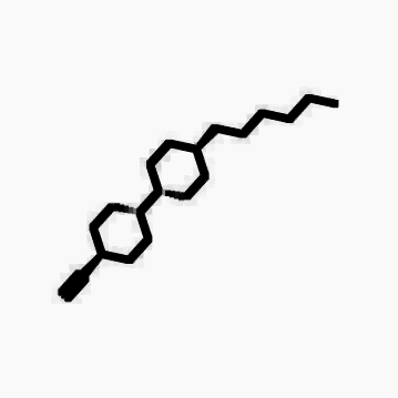 C#C[C@H]1CC[C@H]([C@H]2CC[C@H](CCCCCC)CC2)CC1